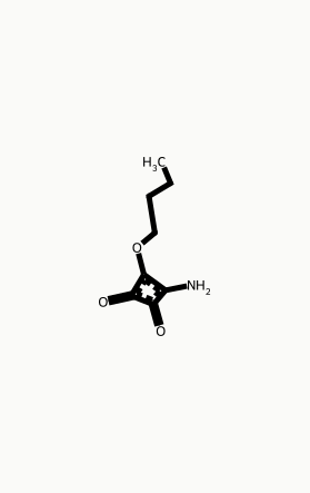 CCCCOc1c(N)c(=O)c1=O